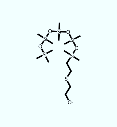 C[Si](C)(C)O[Si](C)(C)O[Si](C)(C)O[Si](C)(C)O[Si](C)(C)CCSCC[O]